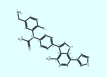 NCc1ccc(F)c(N(C(N)=O)c2ccc(-c3csc4c(-c5ccoc5)cnc(N)c34)cc2)c1